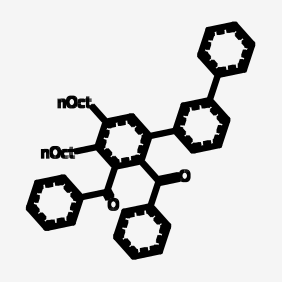 CCCCCCCCc1cc(-c2cccc(-c3ccccc3)c2)c(C(=O)c2ccccc2)c(C(=O)c2ccccc2)c1CCCCCCCC